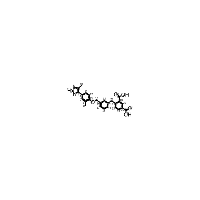 Cc1cc(-c2nn(C)cc2C)ccc1OCc1cccc(Cc2ccc(C(=O)O)cc2C(=O)O)c1